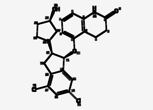 O=C1CCc2c(cccc2O[C@H]2c3cc(Cl)cc(Cl)c3C[C@H]2N2CC[C@@H](O)C2)N1